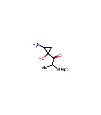 CCCCCCCC(CCCC)C(=O)C1(O)CC1N